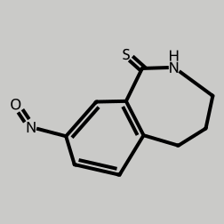 O=Nc1ccc2c(c1)C(=S)NCCC2